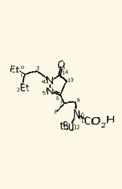 CCC(CC)CN1N=C(C(C)CN(C(=O)O)C(C)(C)C)CC1=O